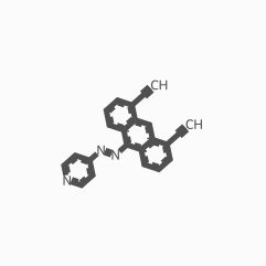 C#Cc1cccc2c(/N=N/c3ccncc3)c3cccc(C#C)c3cc12